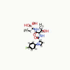 CC(C)C[C@@H](NC(=O)[C@@H](NC(=O)[C@@H]1CCN1c1ccc(F)cc1)C(C)O)B(O)O